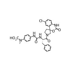 CN(C(=O)O)c1ccc(NC(=O)N[C@@H](Cc2ccccc2)C(=O)N2CCC3(C2)OC(=O)Nc2ccc(Cl)cc23)cc1